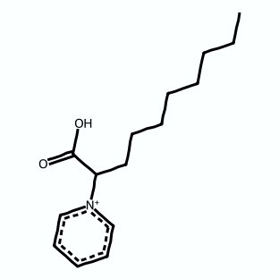 CCCCCCCCC(C(=O)O)[n+]1ccccc1